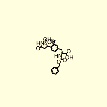 O=C1CC(c2ccc(C[C@H](NC(=O)OCc3ccccc3)C(=O)O)cc2Br)S(O)(O)N1